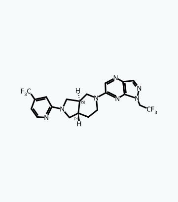 FC(F)(F)Cn1ncc2ncc(N3CC[C@@H]4CN(c5cc(C(F)(F)F)ccn5)C[C@H]4C3)nc21